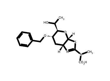 CC(O)[C@H]1O[C@@H]2SC(N(C)C(=O)O)=N[C@@H]2C[C@@H]1OCc1ccccc1